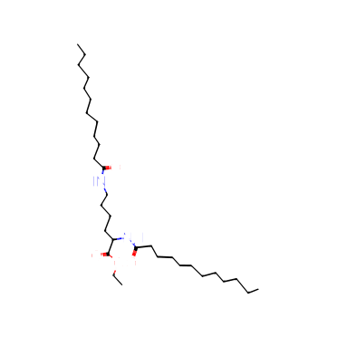 CCCCCCCCCCCC(=O)NCCCCC(NC(=O)CCCCCCCCCCC)C(=O)OCC